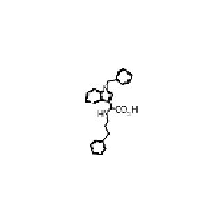 O=C(O)C(NCCCc1ccccc1)c1cn(Cc2ccccc2)c2ccccc12